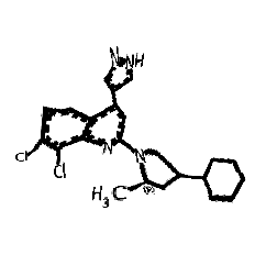 C[C@@H]1CC(C2CCCCC2)CN1c1cc(-c2cn[nH]c2)c2ccc(Cl)c(Cl)c2n1